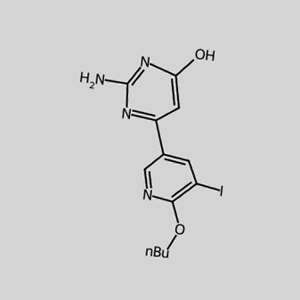 CCCCOc1ncc(-c2cc(O)nc(N)n2)cc1I